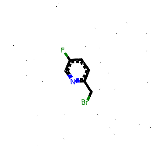 Fc1ccc(CBr)nc1